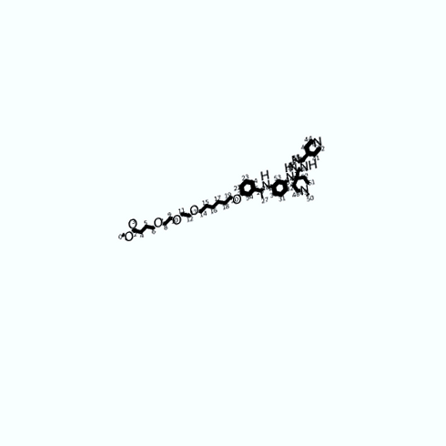 COC(=O)CCCOCCOCCOCCCCCCOc1cccc([C@H](C)Nc2cccc(NC3(c4nnc(-c5ccncc5)[nH]4)CCN(C)CC3)c2)c1